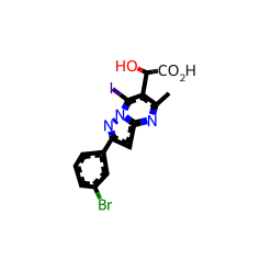 Cc1nc2cc(-c3cccc(Br)c3)nn2c(I)c1C(O)C(=O)O